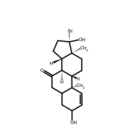 CC(=O)[C@@]1(O)CC[C@H]2[C@@H]3C(=O)CC4CC(O)C=C[C@]4(C)[C@H]3CC[C@@]21C